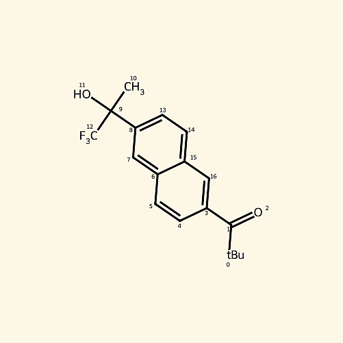 CC(C)(C)C(=O)c1ccc2cc(C(C)(O)C(F)(F)F)ccc2c1